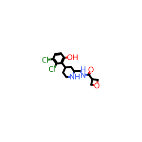 O=C(NCC1CC(c2c(O)ccc(Cl)c2Cl)CCN1)C1COC1